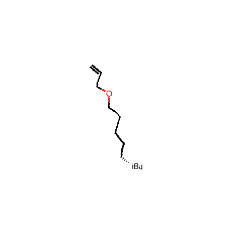 C=CCOCCCCC[C@@H](C)CC